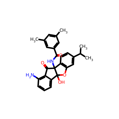 Cc1cc(C)cc(C(=O)NC23C(=O)c4c(N)cccc4C2(O)Oc2cc(C(C)C)ccc23)c1